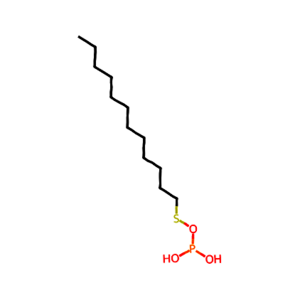 CCCCCCCCCCCCSOP(O)O